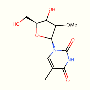 COC1C(O)[C@H](CO)O[C@@H]1n1cc(C)c(=O)[nH]c1=O